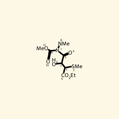 CCOC(=O)C(SC)C(O)C(=O)N(NC)C(=O)OC